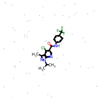 Cc1nn(C(C)C)c2ncc(C(=O)Nc3ccc(C(F)(F)F)cc3)c(Cl)c12